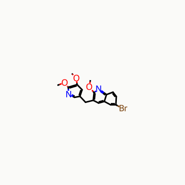 COc1cc(Cc2cc3cc(Br)ccc3nc2OC)cnc1OC